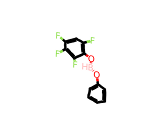 Fc1cc(F)c(OBOc2ccccc2)c(F)c1F